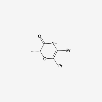 CC(C)C1=C(C(C)C)O[C@H](C)C(=O)N1